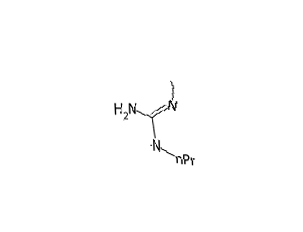 CCC[N]C(N)=NC